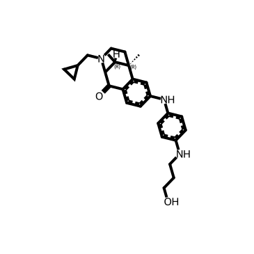 C[C@H]1C2C(=O)c3ccc(Nc4ccc(NCCCO)cc4)cc3[C@]1(C)CCN2CC1CC1